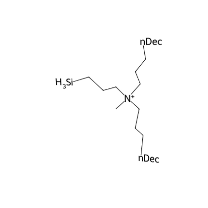 CCCCCCCCCCCCC[N+](C)(CCC[SiH3])CCCCCCCCCCCCC